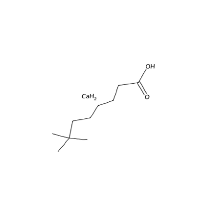 CC(C)(C)CCCCCC(=O)O.[CaH2]